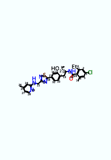 CCc1cc(Cl)cc(C)c1C(=O)NC(Cc1ccc(-c2nc(CNc3cc(C)ccn3)ns2)cc1)C(=O)O